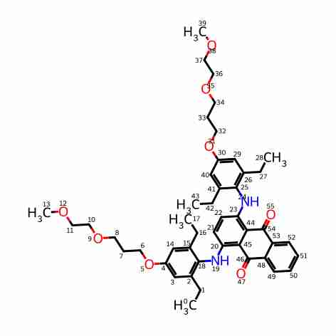 CCc1cc(OCCCOCCOC)cc(CC)c1Nc1ccc(Nc2c(CC)cc(OCCCOCCOC)cc2CC)c2c1C(=O)c1ccccc1C2=O